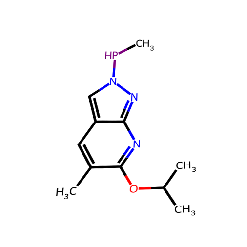 CPn1cc2cc(C)c(OC(C)C)nc2n1